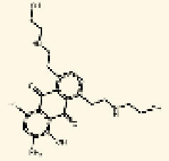 Nc1cc(O)c2c(c1O)C(=O)c1c(CCNCCO)ccc(CCNCCO)c1C2=O